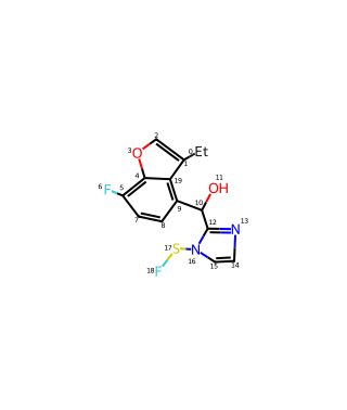 CCc1coc2c(F)ccc(C(O)c3nccn3SF)c12